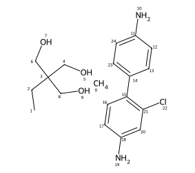 C.CCC(CO)(CO)CO.Nc1ccc(-c2ccc(N)cc2Cl)cc1